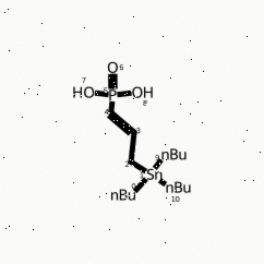 CCC[CH2][Sn]([CH2]C=CP(=O)(O)O)([CH2]CCC)[CH2]CCC